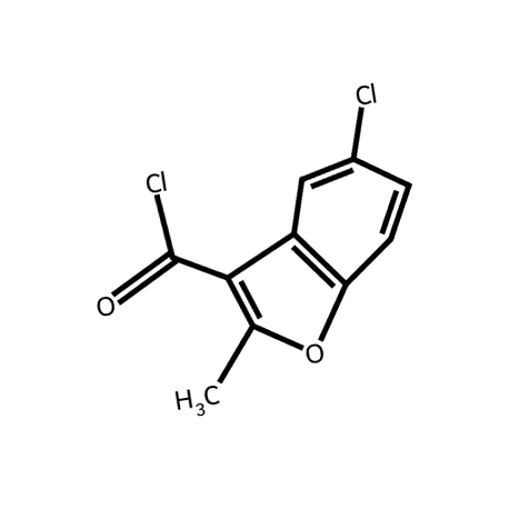 Cc1oc2ccc(Cl)cc2c1C(=O)Cl